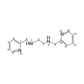 c1ccc(CNCCNCc2ccccn2)nc1